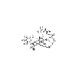 BC(CC)(CC)SC(=C)c1ccc(C(=O)NCC(C)(C)COCC(C)(C)Cn2cc(CC(OC(=O)N(C)[C@H](C(N)=O)C(C)C)c3ccc(OC4OC(CO)C(O)C(O)C4O)c([N+](=O)[O-])c3)nn2)cc1